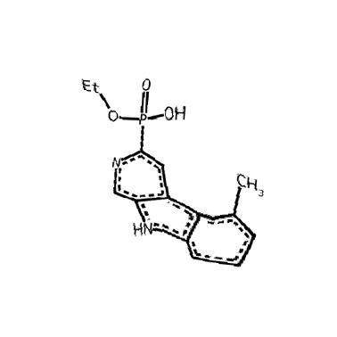 CCOP(=O)(O)c1cc2c(cn1)[nH]c1cccc(C)c12